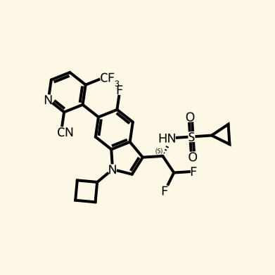 N#Cc1nccc(C(F)(F)F)c1-c1cc2c(cc1F)c([C@H](NS(=O)(=O)C1CC1)C(F)F)cn2C1CCC1